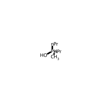 CCCC.CCCPO